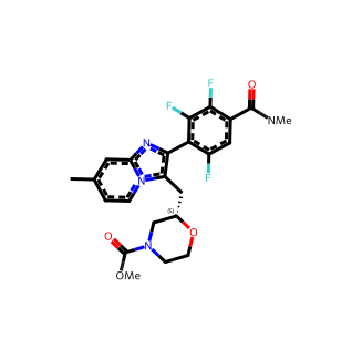 CNC(=O)c1cc(F)c(-c2nc3cc(C)ccn3c2C[C@H]2CN(C(=O)OC)CCO2)c(F)c1F